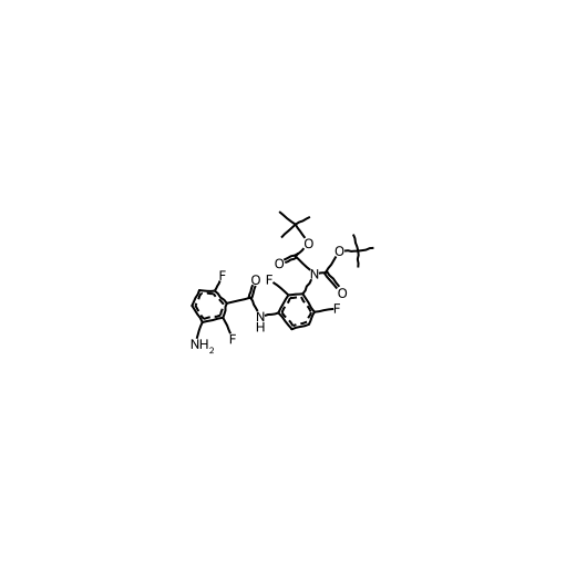 CC(C)(C)OC(=O)N(C(=O)OC(C)(C)C)c1c(F)ccc(NC(=O)c2c(F)ccc(N)c2F)c1F